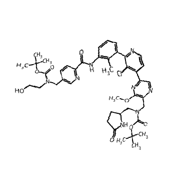 COc1nc(-c2ccnc(-c3cccc(NC(=O)c4ccc(CN(CCO)C(=O)OC(C)(C)C)cn4)c3C)c2Cl)cnc1CN(C[C@@H]1CCC(=O)N1)C(=O)OC(C)(C)C